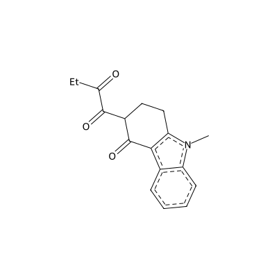 CCC(=O)C(=O)C1CCc2c(c3ccccc3n2C)C1=O